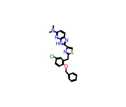 CN(C)c1ccc2nc(-c3csc(Cc4cc(Cl)ccc4OCc4ccccc4)n3)[nH]c2n1